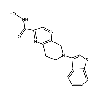 O=C(NO)c1cnc2c(n1)CCN(c1csc3ccccc13)C2